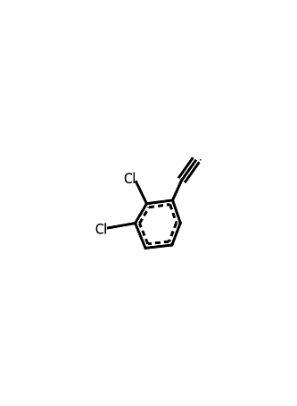 [C]#Cc1cccc(Cl)c1Cl